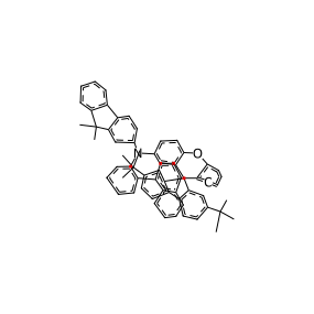 CC(C)(C)c1ccc2c(c1)C1(c3ccccc3Oc3ccc(N(c4ccc5c(c4)C(C)(C)c4ccccc4-5)c4ccccc4-c4cccc5ccccc45)cc31)c1cc(C(C)(C)C)ccc1-2